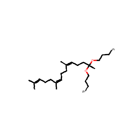 CC(C)=CCCC(C)=CCCC(C)=CCCC(C)(OCCCC(C)C)OCCCC(C)C